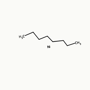 CCCCCCCC.[Ni]